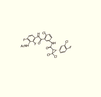 CC(=O)Nc1c(F)ccc(NC(=O)c2cc(NC(=O)C3[C@H](c4ccc(F)c(Cl)c4)C3(Cl)Cl)ccc2Cl)c1F